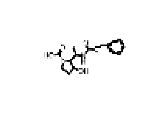 CC(NC(=O)OCc1ccccc1)C1C(O)CCN1C(=O)O